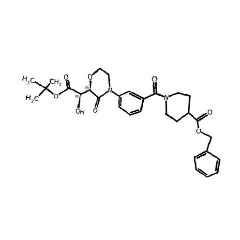 CC(C)(C)OC(=O)[C@H](O)[C@H]1OCCN(c2cccc(C(=O)N3CCC(C(=O)OCc4ccccc4)CC3)c2)C1=O